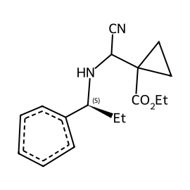 CCOC(=O)C1(C(C#N)N[C@@H](CC)c2ccccc2)CC1